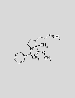 C=CCCC1CCN([C@@H](C)c2ccccc2)[C@@]1(C)C(=O)OC